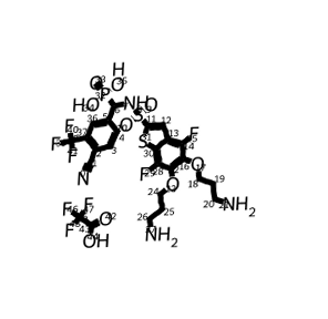 N#Cc1ccc(C(NS(=O)(=O)c2cc3c(F)c(OCCCN)c(OCCCN)c(F)c3s2)P(=O)(O)O)cc1C(F)(F)F.O=C(O)C(F)(F)F